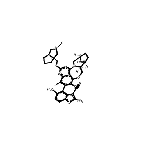 Cc1ccc2sc(N)c(C#N)c2c1-c1c(Cl)c2c3c(nc(OC[C@@]45CCCN4C[C@H](F)C5)nc3c1F)N1C[C@H]3CC[C@H](N3)[C@H]1CO2